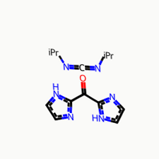 CC(C)N=C=NC(C)C.O=C(c1ncc[nH]1)c1ncc[nH]1